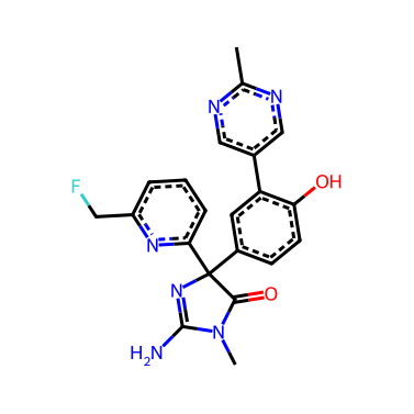 Cc1ncc(-c2cc(C3(c4cccc(CF)n4)N=C(N)N(C)C3=O)ccc2O)cn1